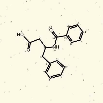 O=C(O)CC(Cc1ccccc1)NC(=O)c1ccccc1